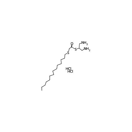 CCCCCCCCCCCCCCSCC(=O)SC(CN)CN.Cl.Cl